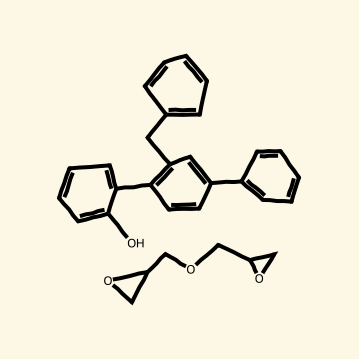 C(OCC1CO1)C1CO1.Oc1ccccc1-c1ccc(-c2ccccc2)cc1Cc1ccccc1